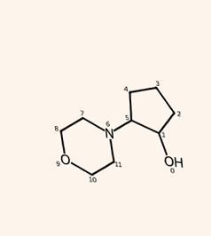 OC1CCCC1N1CCOCC1